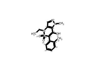 CCN1c2cnn(C)c2C(O)=C(c2ccccc2C)S1(=O)=O